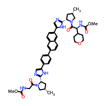 COC(=O)NCC(=O)N1C[C@@H](C)C[C@H]1c1ncc(-c2ccc(-c3ccc4cc(-c5cnc([C@@H]6C[C@H](C)CN6C(=O)[C@@H](NC(=O)OC)C6CCOCC6)[nH]5)ccc4c3)cc2)[nH]1